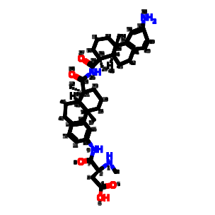 CN[C@@H](CC(=O)O)C(=O)Nc1ccc2c(c1)[C@@]1(C)CCC[C@](C)(C(=O)NC(=O)[C@@]3(C)CCC[C@]4(C)c5cc(N)ccc5CC[C@@H]34)[C@@H]1CC2